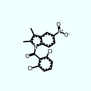 Cc1c(C)n(C(=O)c2c(Cl)cccc2Cl)c2ccc([N+](=O)[O-])cc12